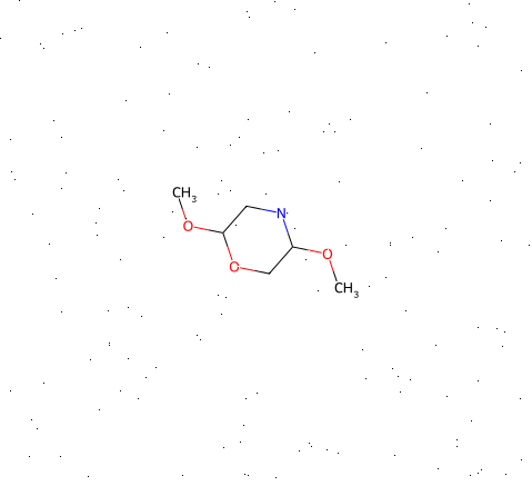 COC1COC(OC)C[N]1